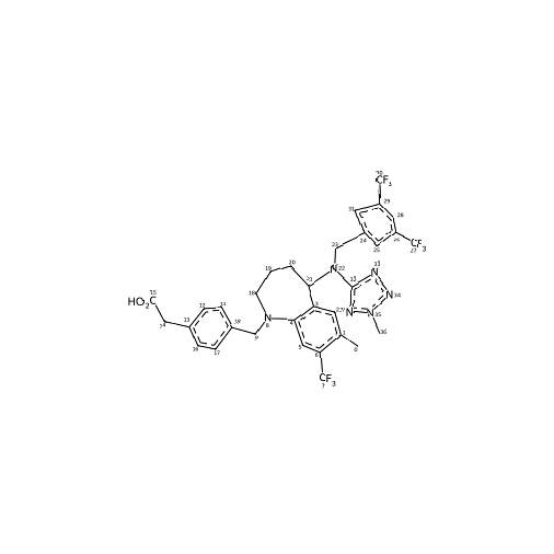 Cc1cc2c(cc1C(F)(F)F)N(Cc1ccc(CC(=O)O)cc1)CCCC2N(Cc1cc(C(F)(F)F)cc(C(F)(F)F)c1)c1nnn(C)n1